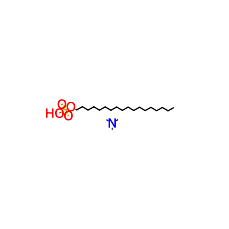 CCCCCCCCCCCCCCCCCCOS(=O)(=O)O.CN(C)C